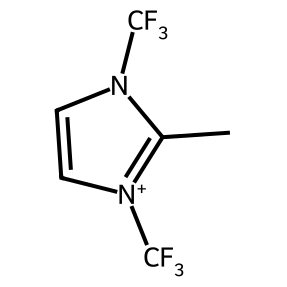 Cc1n(C(F)(F)F)cc[n+]1C(F)(F)F